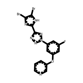 Fc1cc(Oc2cccnc2)cc(-n2nnc(-c3nc(Br)c(Br)[nH]3)n2)c1